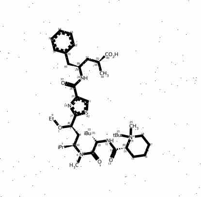 CCO[C@H](C[C@H](C(C)C)N(C)C(=O)C(NC(=O)[C@H]1CCCC[N+]1(C)C(C)(C)C)[C@@H](C)CC)c1nc(C(=O)N[C@@H](Cc2ccccc2)C[C@H](C)C(=O)O)cs1